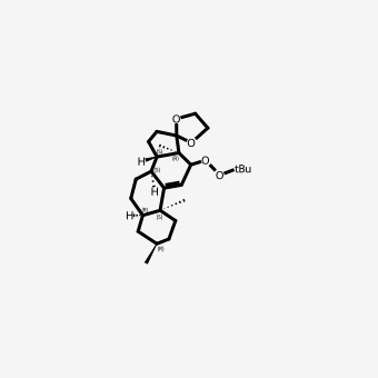 C[C@@H]1CC[C@]2(C)C3=CC(OOC(C)(C)C)[C@@]4(C)[C@@H](CCC45OCCO5)[C@@H]3CC[C@@H]2C1